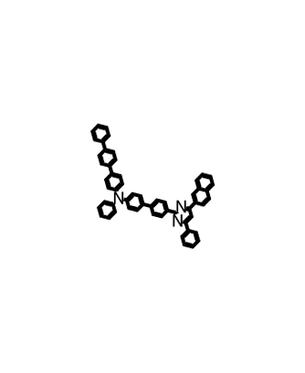 c1ccc(-c2ccc(-c3ccc(N(c4ccccc4)c4ccc(-c5ccc(-c6nc(-c7ccccc7)cc(-c7ccc8ccccc8c7)n6)cc5)cc4)cc3)cc2)cc1